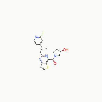 C[C@H](Cc1nc(C(=O)N2CC[C@@H](O)C2)c2sccc2n1)c1ccnc(F)c1